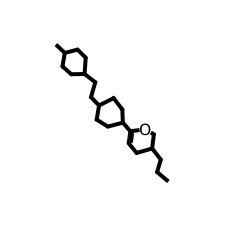 CCCC1CC=C(C2CCC(CCC3CCC(C)CC3)CC2)OC1